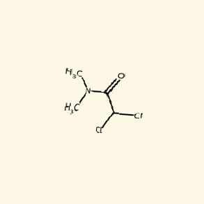 CN(C)C(=O)C(Cl)Cl